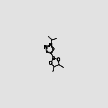 CC1OB(c2cnn(C(C)C)c2)OC1C